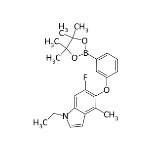 CCn1ccc2c(C)c(Oc3cccc(B4OC(C)(C)C(C)(C)O4)c3)c(F)cc21